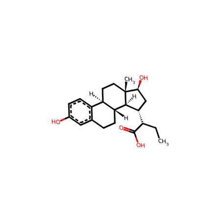 CCC(C(=O)O)[C@H]1C[C@H](O)[C@@]2(C)CC[C@@H]3c4ccc(O)cc4CC[C@H]3[C@H]12